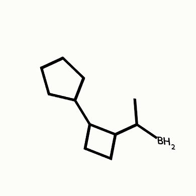 BC(C)C1CCC1C1CCCC1